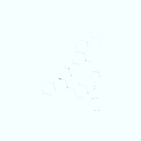 CN(c1ccc2oc(C(=O)N[C@H](Cc3ccc(Cl)cc3)C(=O)N3CCC(Cn4cncn4)(C4CCCCC4)CC3)cc(=O)c2c1)[S+](C)[O-]